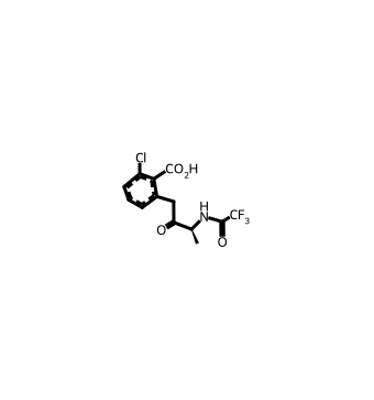 C[C@H](NC(=O)C(F)(F)F)C(=O)Cc1cccc(Cl)c1C(=O)O